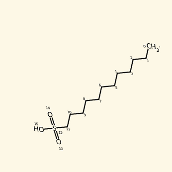 [CH2]CCCCCCCCCCCS(=O)(=O)O